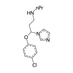 CCCNCCC(Oc1ccc(Cl)cc1)n1ccnc1